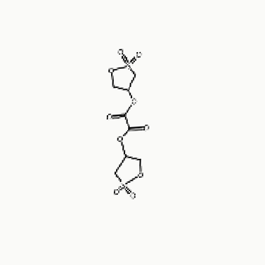 O=C(OC1COS(=O)(=O)C1)C(=O)OC1COS(=O)(=O)C1